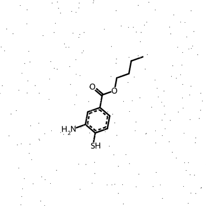 CCCCOC(=O)c1ccc(S)c(N)c1